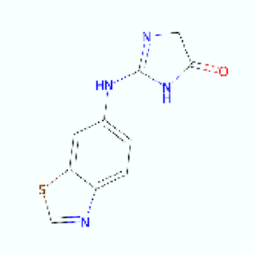 O=C1CN=C(Nc2ccc3ncsc3c2)N1